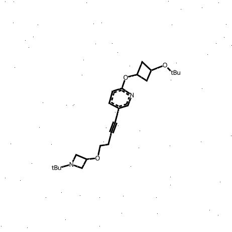 CC(C)(C)OC1CC(Oc2ccc(C#CCCOC3CN(C(C)(C)C)C3)cn2)C1